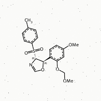 COCOc1cc(OC)ccc1[C@H]1OC=N[C@@H]1S(=O)(=O)c1ccc(C)cc1